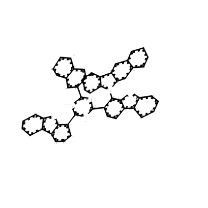 c1ccc2cc(-c3nc(-c4ccc5c(oc6ccccc65)c4-n4c5ccccc5c5cc6ccccc6cc54)nc(-c4cccc5c4oc4ccccc45)n3)ccc2c1